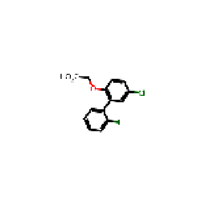 O=C(O)COc1ccc(Cl)cc1-c1ccccc1F